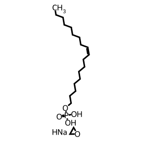 C1CO1.CCCCCCCC/C=C\CCCCCCCCOP(=O)(O)O.[NaH]